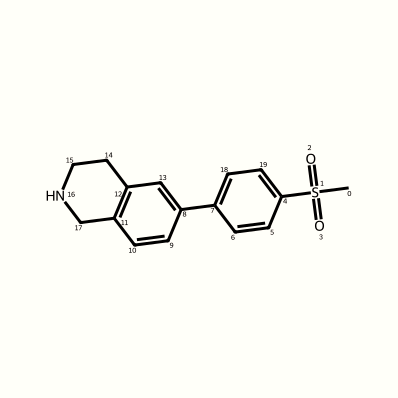 CS(=O)(=O)c1ccc(-c2ccc3c(c2)CCNC3)cc1